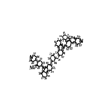 Cc1cccc(-c2cccc3c4cc(Cc5cccc(-c6ccc7c8ccccc8n(-c8ccc(-c9ccncc9)c(C#N)c8)c7c6)c5)ccc4n(-c4ccc(-c5ccncc5)c(C#N)c4)c23)c1